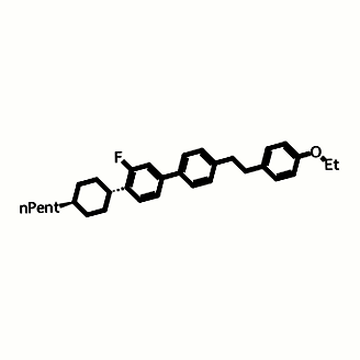 CCCCC[C@H]1CC[C@H](c2ccc(-c3ccc(CCc4ccc(OCC)cc4)cc3)cc2F)CC1